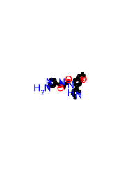 Cc1ccc(-c2cc3c(cc2NC(=O)c2coc(-c4ccnc(N)c4)n2)CC(C)(C)O3)cn1